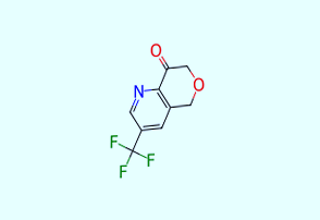 O=C1COCc2cc(C(F)(F)F)cnc21